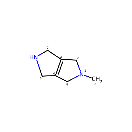 CN1CC2=C(CNC2)C1